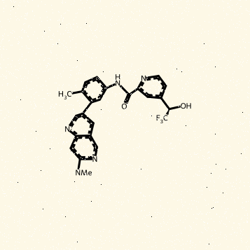 CNc1cc2ncc(-c3cc(NC(=O)c4cc([C@@H](O)C(F)(F)F)ccn4)ccc3C)cc2cn1